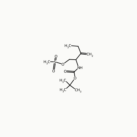 C=C(CC)C(COS(C)(=O)=O)NC(=O)OC(C)(C)C